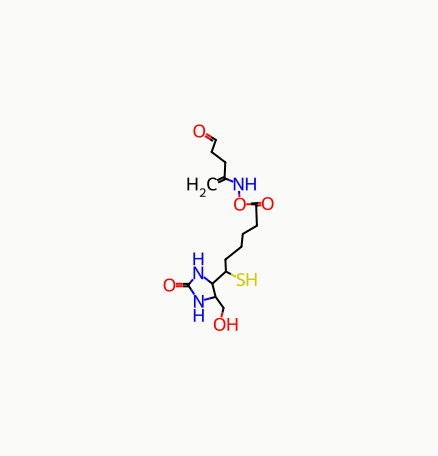 C=C(CCC=O)NOC(=O)CCCCC(S)C1NC(=O)NC1CO